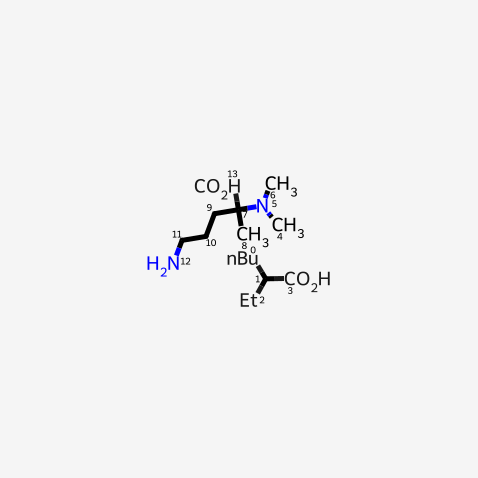 CCCCC(CC)C(=O)O.CN(C)C(C)(CCCN)C(=O)O